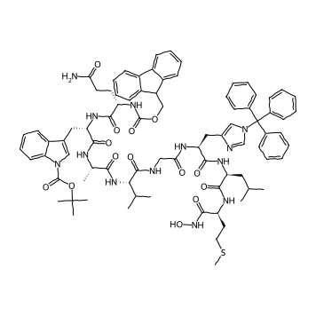 CSCC[C@H](NC(=O)[C@H](CC(C)C)NC(=O)[C@H](Cc1cn(C(c2ccccc2)(c2ccccc2)c2ccccc2)cn1)NC(=O)CNC(=O)[C@@H](NC(=O)[C@H](C)NC(=O)[C@H](Cc1cn(C(=O)OC(C)(C)C)c2ccccc12)NC(=O)[C@H](CCC(N)=O)NC(=O)OCC1c2ccccc2-c2ccccc21)C(C)C)C(=O)NO